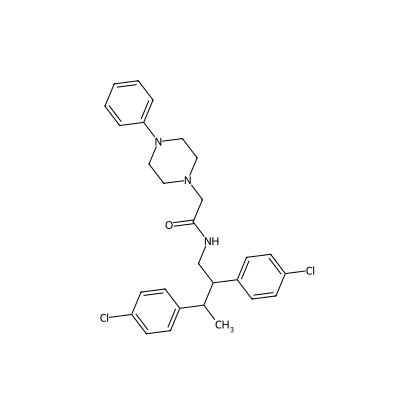 CC(c1ccc(Cl)cc1)C(CNC(=O)CN1CCN(c2ccccc2)CC1)c1ccc(Cl)cc1